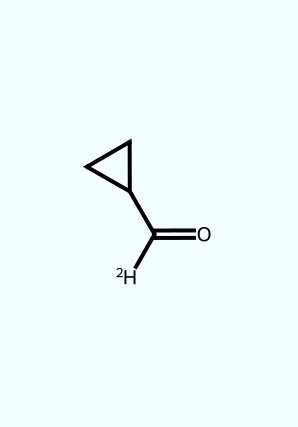 [2H]C(=O)C1CC1